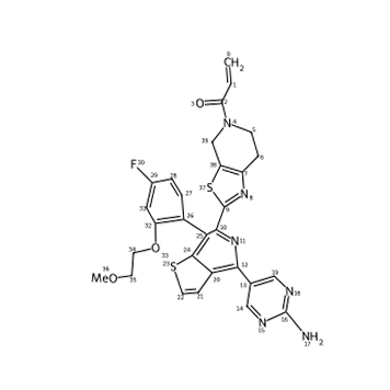 C=CC(=O)N1CCc2nc(-c3nc(-c4cnc(N)nc4)c4ccsc4c3-c3ccc(F)cc3OCCOC)sc2C1